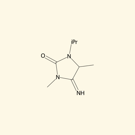 CC(C)N1C(=O)N(C)C(=N)C1C